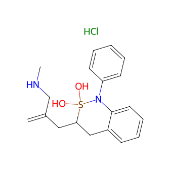 C=C(CNC)CC1Cc2ccccc2N(c2ccccc2)S1(O)O.Cl